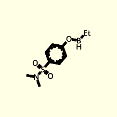 CCBOc1ccc(S(=O)(=O)N(C)C)cc1